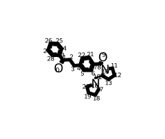 O=C(CCc1ccc(C(=O)N2CCC[C@H]2CN2CCCC2)cc1)c1ccccc1